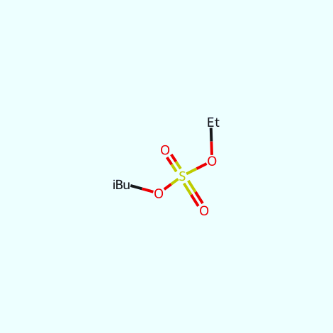 CCOS(=O)(=O)OC(C)CC